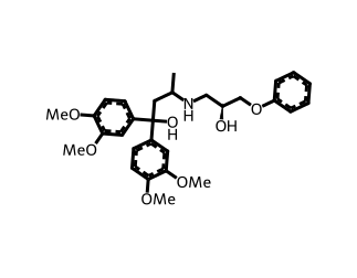 COc1ccc(C(O)(CC(C)NC[C@H](O)COc2ccccc2)c2ccc(OC)c(OC)c2)cc1OC